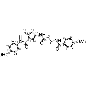 COc1ccc(C(=O)NCCC(=O)Nc2cc(C(=O)Nc3ccc(C=O)cc3)n(C)c2)cc1